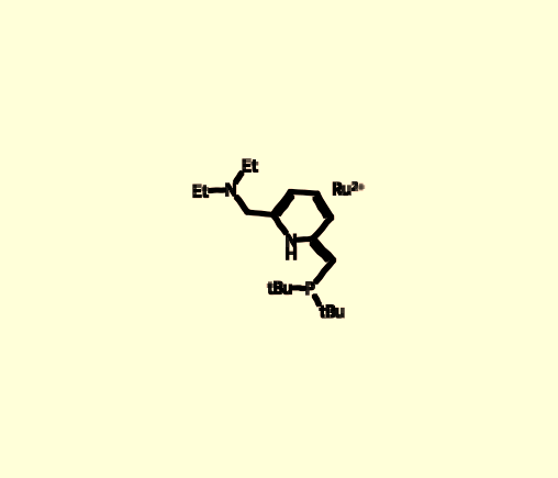 CCN(CC)CC1=CC=CC(=CP(C(C)(C)C)C(C)(C)C)N1.[Ru+2]